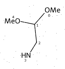 COC(C[NH])OC